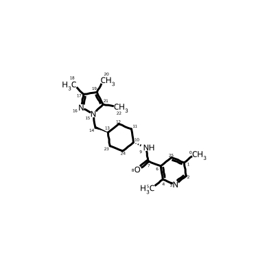 Cc1cnc(C)c(C(=O)N[C@H]2CC[C@H](Cn3nc(C)c(C)c3C)CC2)c1